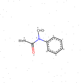 CNC(=O)N([C]=O)c1ccccc1